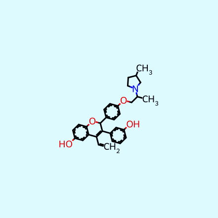 C=CC1=C(c2cccc(O)c2)C(c2ccc(OCC(C)N3CCC(C)C3)cc2)Oc2ccc(O)cc21